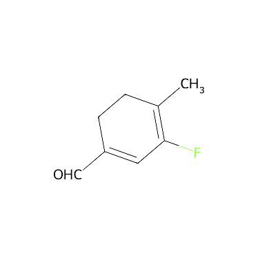 CC1=C(F)C=C(C=O)CC1